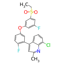 CCS(=O)(=O)c1cc(F)cc(Oc2ccc(F)c(-c3cc(C)nc4c(Cl)cccc34)c2)c1